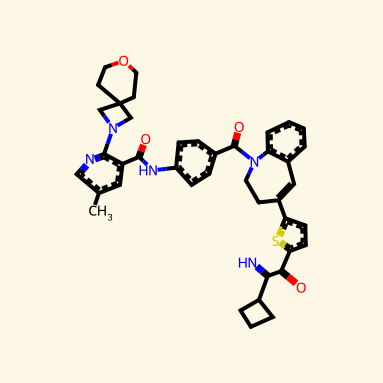 Cc1cnc(N2CC3(CCOCC3)C2)c(C(=O)Nc2ccc(C(=O)N3CCC(c4ccc(C(=O)C(=N)C5CCC5)s4)=Cc4ccccc43)cc2)c1